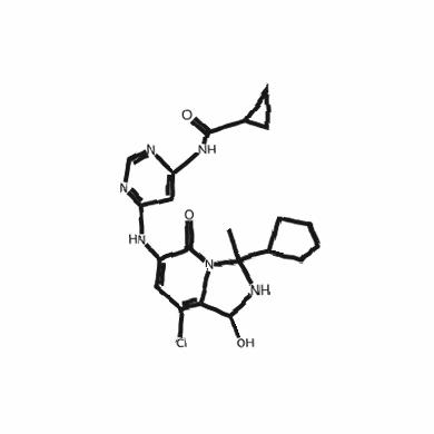 CC1(C2CCCC2)NC(O)c2c(Cl)cc(Nc3cc(NC(=O)C4CC4)ncn3)c(=O)n21